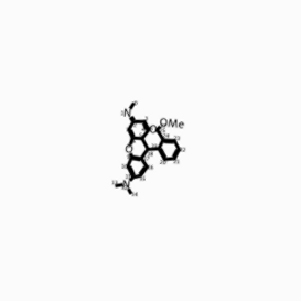 C/N=C1\C=CC2C(=C1)Oc1cc(N(C)C)ccc1C2c1ccccc1C(=O)OC